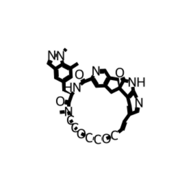 Cc1cc(C[C@H]2NC(=O)c3cc4c(cn3)C[C@@]3(C4)C(=O)Nc4ncc(cc43)/C=C/COCCOCCN(C)C2=O)cc2cnn(C)c12